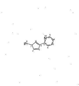 CC(C)C1C=CC(c2ccccn2)=C1